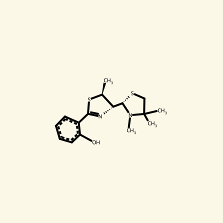 C[C@@H]1SC(c2ccccc2O)=N[C@H]1[C@@H]1SCC(C)(C)N1C